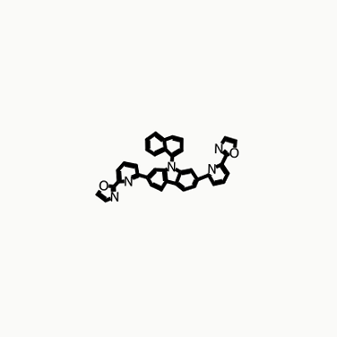 c1cc(-c2ccc3c4ccc(-c5cccc(-c6ncco6)n5)cc4n(-c4cccc5ccccc45)c3c2)nc(-c2ncco2)c1